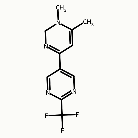 CC1=CC(c2cnc(C(F)(F)F)nc2)=NCN1C